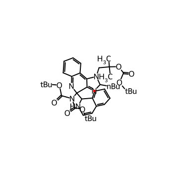 CCCCC1N=C2C(=c3ccccc3=NC2(C2NC=Cc3ccccc32)N(C(=O)OC(C)(C)C)C(=O)OC(C)(C)C)N1CC(C)(C)OC(=O)OC(C)(C)C